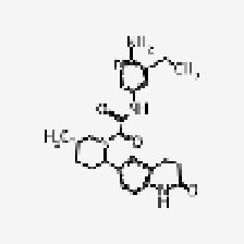 CCc1cc(NC(=O)C(=O)N2C[C@@H](C)CCC2c2ccc3c(c2)CCC(=O)N3)cnc1N